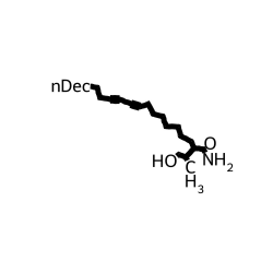 CCCCCCCCCCCCC#CC#CCCCCCCCC(C(N)=O)C(C)CO